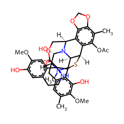 COc1cc2c(cc1O)CCN[C@@]21CS[C@@H]2c3c(OC(C)=O)c(C)c4c(c3[C@H](COC1=O)N1[C@@H]2C2c3c(cc(C)c(OC)c3O)C[C@H]([C@@H]1O)N2C)OCO4